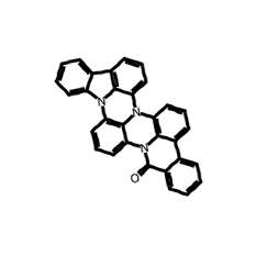 O=c1c2ccccc2c2cccc3c2n1c1cccc2c1-n3c1cccc3c4ccccc4n2c31